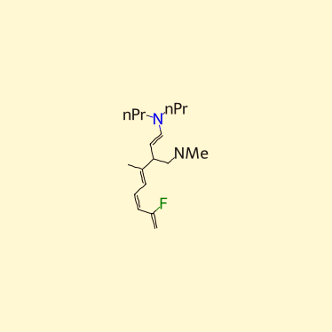 C=C(F)/C=C\C=C(/C)C(/C=C/N(CCC)CCC)CNC